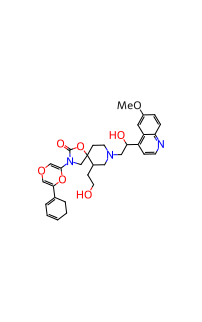 COc1ccc2nccc(C(O)CN3CCC4(CN(C5=COC=C(C6=CC=CCC6)O5)C(=O)O4)C(CCO)C3)c2c1